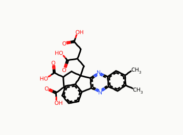 Cc1cc2nc3c(nc2cc1C)C(CC(CC(=O)O)C(=O)O)(CC(CC(=O)O)C(=O)O)c1ccccc1-3